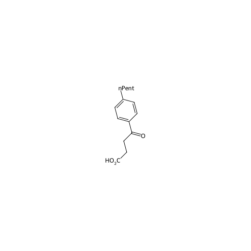 CCCCCc1ccc(C(=O)CCC(=O)O)cc1